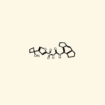 O=C(Nc1c2c(cc3c1CCC3)CCC2)NS(=O)(=O)c1cc(C2(O)CCC2)co1